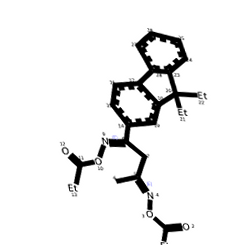 CCC(=O)O/N=C(\C)C/C(=N\OC(=O)CC)c1ccc2c(c1)C(CC)(CC)c1ccccc1-2